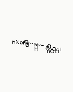 CCCCCCCCCOC(=O)CCCCCNCCCCCCCC(=O)OC(CCCCCCCC)CCCCCCCC